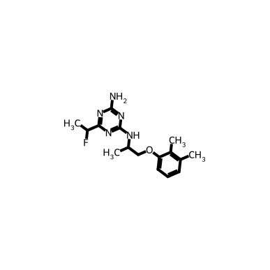 Cc1cccc(OCC(C)Nc2nc(N)nc(C(C)F)n2)c1C